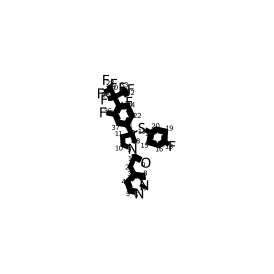 O=C(Cc1ccnnc1)N1CC[C@@](Sc2ccc(F)cc2)(c2ccc(C(F)(C(F)(F)F)C(F)(F)F)c(F)c2)C1